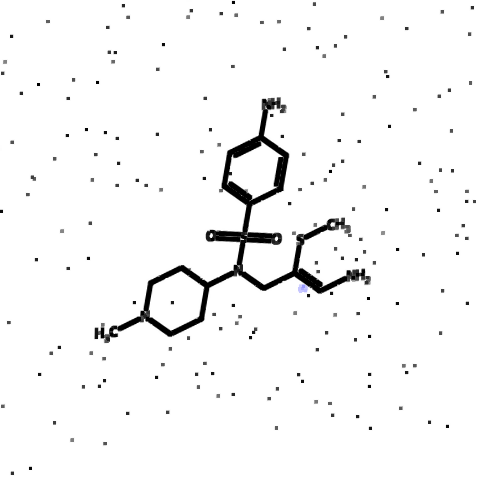 CS/C(=C\N)CN(C1CCN(C)CC1)S(=O)(=O)c1ccc(N)cc1